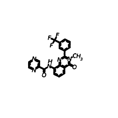 Cn1c(-c2cccc(C(F)(F)F)c2)nc2c(NC(=O)c3cnccn3)cccc2c1=O